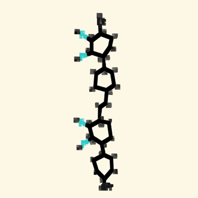 CCCC1CCC(C2CC[C@H](CCC3CCC([C@@H]4CCC(CC)C(F)C4F)CC3)C(F)[C@@H]2F)CC1